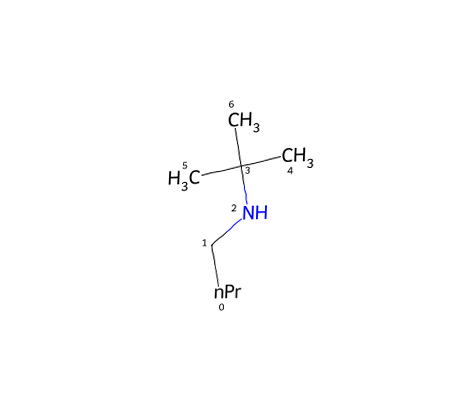 CCCCNC(C)(C)C